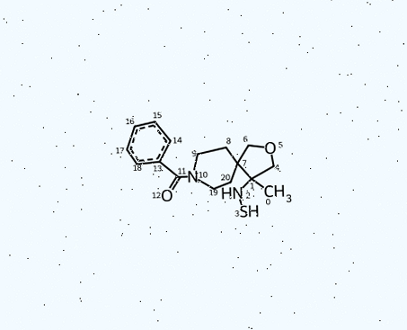 CC1(NS)COCC12CCN(C(=O)c1ccccc1)CC2